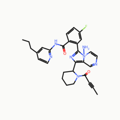 CC#CC(=O)N1CCCCC1C1=C2C=NC=C[N+]2(N)C(c2cc(F)ccc2C(=O)Nc2cc(CCC)ccn2)=N1